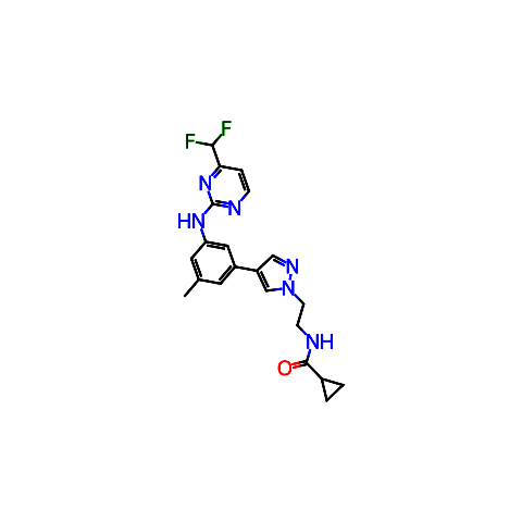 Cc1cc(Nc2nccc(C(F)F)n2)cc(-c2cnn(CCNC(=O)C3CC3)c2)c1